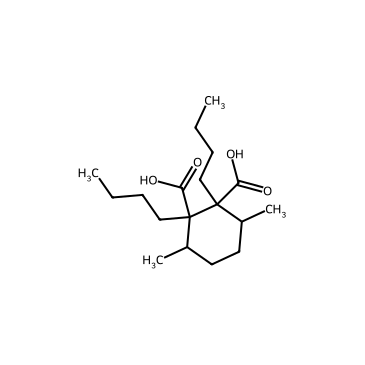 CCCCC1(C(=O)O)C(C)CCC(C)C1(CCCC)C(=O)O